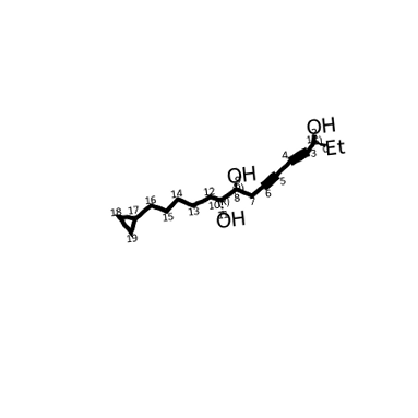 CC[C@H](O)C#CC#CC[C@@H](O)[C@H](O)CCCCCC1CC1